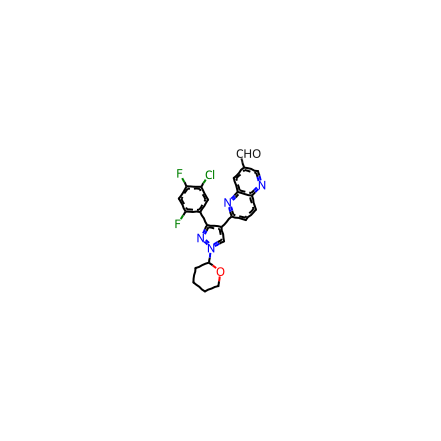 O=Cc1cnc2ccc(-c3cn(C4CCCCO4)nc3-c3cc(Cl)c(F)cc3F)nc2c1